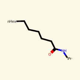 CCCCCCCCCCCC(=O)N[C](C)C